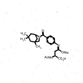 COC(CC(NC(C)=O)C(=O)O)=Nc1ccc(C(=O)N2CC3(C)CC2CC(C)(C)C3)cc1